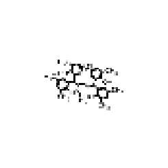 CCC(CCC(c1cc(C)cc(C)c1O)c1cc(C)cc(C)c1O)C(c1cc(C)cc(C)c1O)c1cc(C)cc(C)c1O